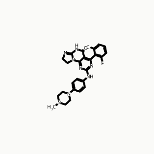 CN1CCN(c2ccc(Nc3nc(-c4c(F)cccc4Cl)c4c(n3)N3CCN=C3NC4=O)cc2)CC1